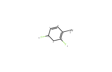 CCCC1=C(F)CC(F)C=C1